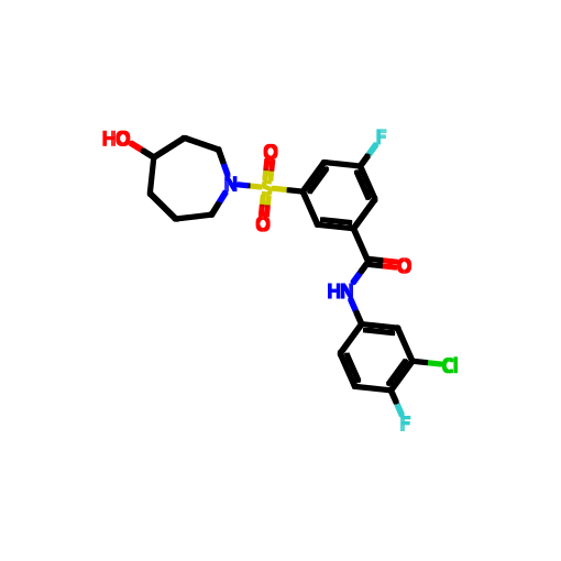 O=C(Nc1ccc(F)c(Cl)c1)c1cc(F)cc(S(=O)(=O)N2CCCC(O)CC2)c1